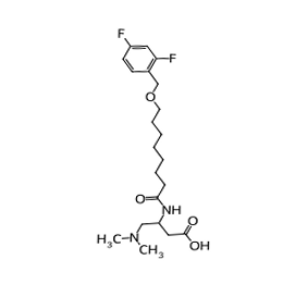 CN(C)CC(CC(=O)O)NC(=O)CCCCCCCOCc1ccc(F)cc1F